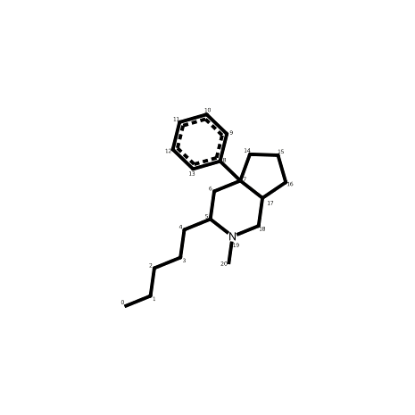 CCCCCC1CC2(c3ccccc3)CCCC2CN1C